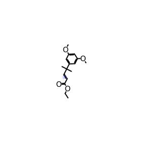 CCOC(=O)/C=C/C(C)(C)c1cc(OC)cc(OC)c1